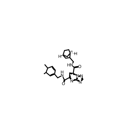 CC1C=CC(CNC(=O)c2cc(C(=O)NCC3C[C@H]4CC[C@@H]3C4)n3ncnc3n2)=CC1C